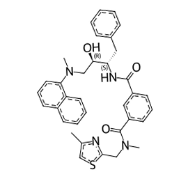 Cc1csc(CN(C)C(=O)c2cccc(C(=O)N[C@@H](Cc3ccccc3)[C@H](O)CN(C)c3cccc4ccccc34)c2)n1